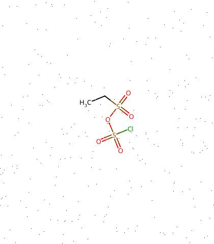 CCS(=O)(=O)OS(=O)(=O)Cl